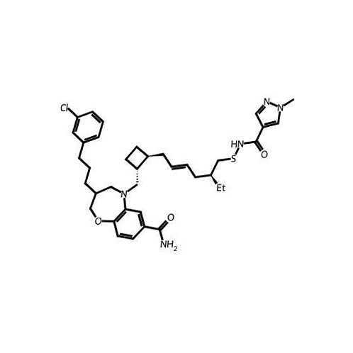 CC[C@@H](C/C=C/C[C@@H]1CC[C@H]1CN1CC(CCCc2cccc(Cl)c2)COc2ccc(C(N)=O)cc21)CSNC(=O)c1cnn(C)c1